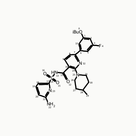 CC(C)COc1cc(F)cc(-c2ccc(C(=O)NS(=O)(=O)c3cccc(N)n3)c(N3CCC(C)CC3)n2)c1